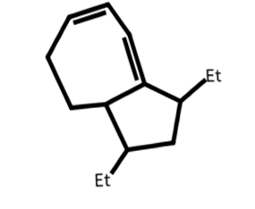 CCC1CC(CC)C2CCC=CC=C12